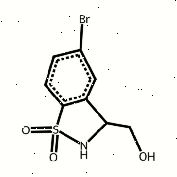 O=S1(=O)NC(CO)c2cc(Br)ccc21